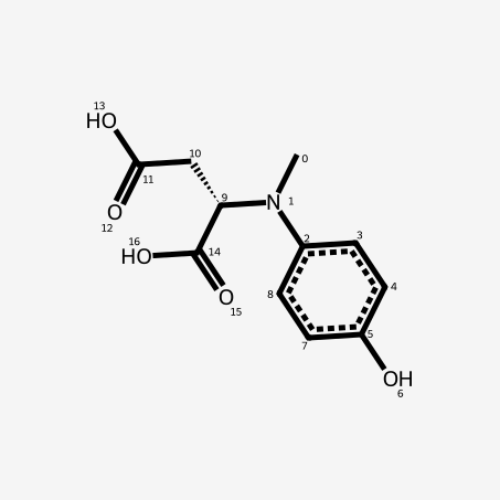 CN(c1ccc(O)cc1)[C@@H](CC(=O)O)C(=O)O